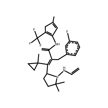 C=CNN1C(/C(=C(\Cc2cccc(F)c2)C(=C)NC2=C(C(F)(F)F)CC(C)=C2)C2(C)CC2)CCC1(C)C